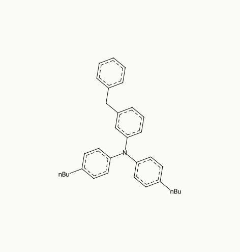 CCCCc1ccc(N(c2ccc(CCCC)cc2)c2cccc(Cc3ccccc3)c2)cc1